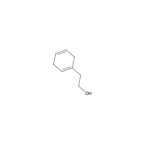 OCCC1=CCC=CC1